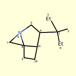 CCC(C)(CC)C1CN2CC23CCC13